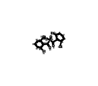 CCc1cccc(CC)c1C(=O)P(=O)(C(=O)c1c(CC)cccc1CC)C(C)(C)C